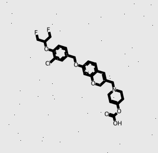 O=C(O)OC1=CCN(CC2=Cc3ccc(OCc4ccc(OC(CF)CF)c(Cl)c4)cc3OC2)CC1